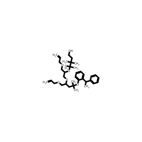 C=CCOCC(CC(C)(C)Oc1ccccc1C(C)c1ccccc1)OCC(COCC=C)OC(C)(C)C(C)(C)CCO